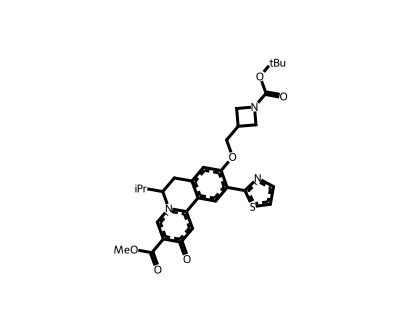 COC(=O)c1cn2c(cc1=O)-c1cc(-c3nccs3)c(OCC3CN(C(=O)OC(C)(C)C)C3)cc1CC2C(C)C